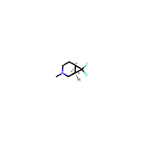 CN1CC[C@]2(C)[C@H](C1)C2(F)F